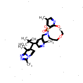 Cc1cnc2c(c1)S(=O)(=O)N(Cc1cc(C(c3ccn4c(C(F)(F)F)nnc4c3C)C(C)(C)C(=O)O)cnc1C)CCCOCCO2